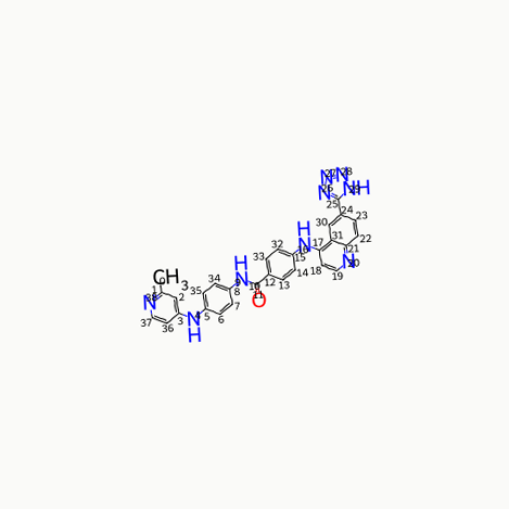 Cc1cc(Nc2ccc(NC(=O)c3ccc(Nc4ccnc5ccc(-c6nnn[nH]6)cc45)cc3)cc2)ccn1